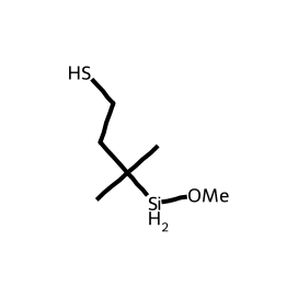 CO[SiH2]C(C)(C)CCS